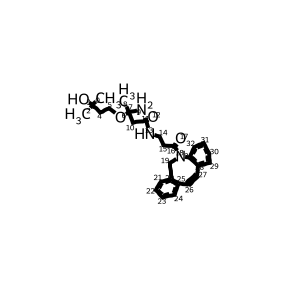 CC(C)(O)CCOC(C)(N)CC(=O)NCCC(=O)N1Cc2ccccc2C#Cc2ccccc21